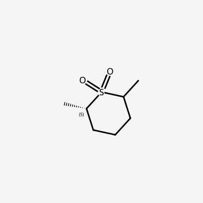 CC1CCC[C@H](C)S1(=O)=O